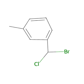 Cc1cccc(C(Cl)Br)c1